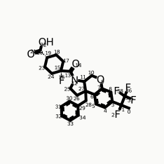 CC(F)(c1ccc2c(c1)OCC1N(C(=O)[C@]3(F)CC[C@@H](C(=O)O)CC3)CCC21Cc1ccccc1)C(F)(F)F